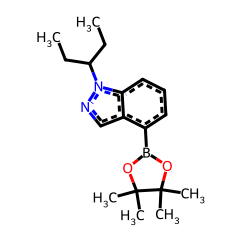 CCC(CC)n1ncc2c(B3OC(C)(C)C(C)(C)O3)cccc21